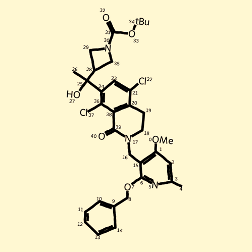 COc1cc(C)nc(OCc2ccccc2)c1CN1CCc2c(Cl)cc(C(C)(O)C3CN(C(=O)OC(C)(C)C)C3)c(Cl)c2C1=O